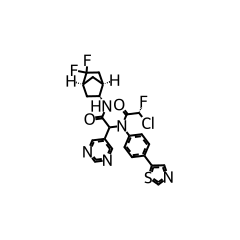 O=C(N[C@@H]1C[C@@H]2C[C@H]1CC2(F)F)C(c1cncnc1)N(C(=O)[C@H](F)Cl)c1ccc(-c2cncs2)cc1